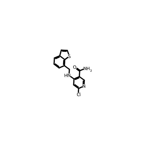 NC(=O)c1cnc(Cl)cc1NCc1cccc2ccsc12